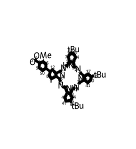 COC(=O)c1ccc(-c2ccc3c(c2)-c2nc-3nc3[nH]c(nc4nc(nc5[nH]c(n2)c2cc(C(C)(C)C)ccc52)-c2cc(C(C)(C)C)ccc2-4)c2cc(C(C)(C)C)ccc32)cc1